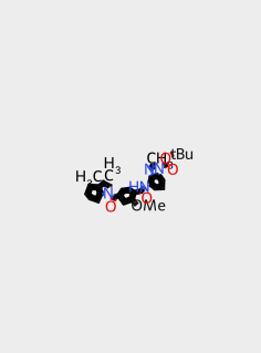 COc1cc(C(=O)N2CC(C)(C)c3ccccc32)ccc1C(=O)Nc1cccc2c1nc(C)n2C(=O)OC(C)(C)C